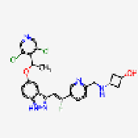 C[C@@H](Oc1ccc2[nH]nc(/C=C(\F)c3ccc(CN[C@H]4C[C@H](O)C4)nc3)c2c1)c1c(Cl)cncc1Cl